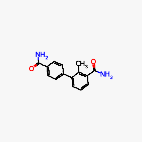 Cc1c(C(N)=O)cccc1-c1ccc(C(N)=O)cc1